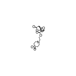 O=C(OCCN1CCS(=O)(=O)CC1)c1c2c3oc1cc3OC2=O